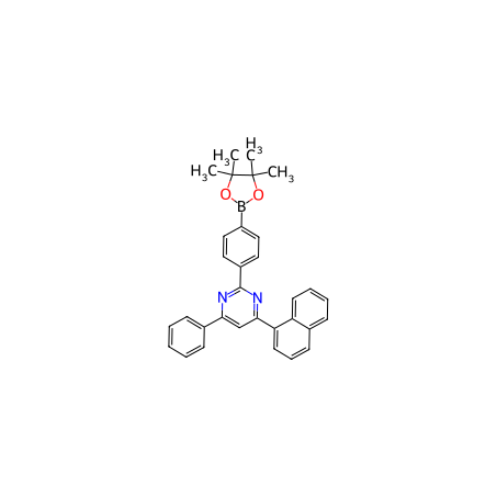 CC1(C)OB(c2ccc(-c3nc(-c4ccccc4)cc(-c4cccc5ccccc45)n3)cc2)OC1(C)C